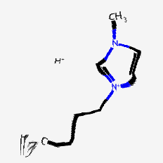 CCCC[n+]1ccn(C)c1.[H+]